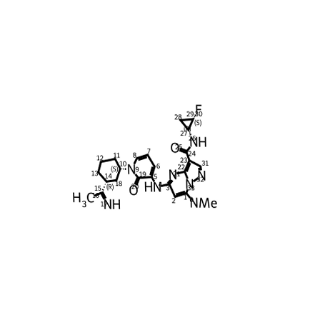 CNc1cc(Nc2cccn([C@H]3CCC[C@@H](C(C)=N)C3)c2=O)nc2c(C(=O)N[C@@H]3C[C@@H]3F)cnn12